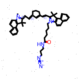 CN1/C(=C/C=C2C=C(/C=C/C3=[N+](CCCCCC(=O)NCCCN=[N+]=[N-])c4ccc5ccccc5c4C3(C)C)CCC/2)C(C)(C)c2c1ccc1ccccc21